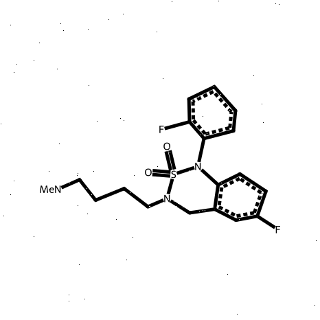 CNCCCCN1Cc2cc(F)ccc2N(c2ccccc2F)S1(=O)=O